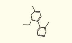 CCN1CC(C)=CC=C1c1ccccc1C